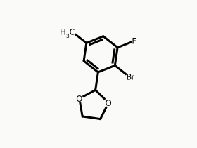 Cc1cc(F)c(Br)c(C2OCCO2)c1